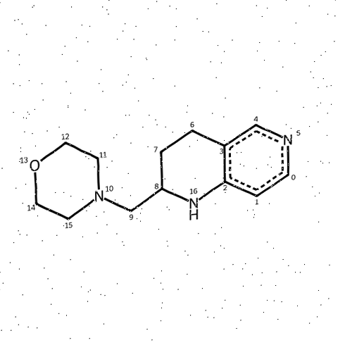 c1cc2c(cn1)CCC(CN1CCOCC1)N2